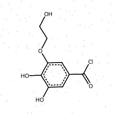 O=C(Cl)c1cc(O)c(O)c(OCCO)c1